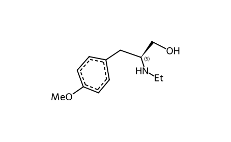 CCN[C@H](CO)Cc1ccc(OC)cc1